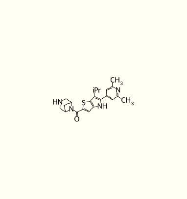 Cc1cc(-c2[nH]c3cc(C(=O)N4C5CNCC4C5)sc3c2C(C)C)cc(C)n1